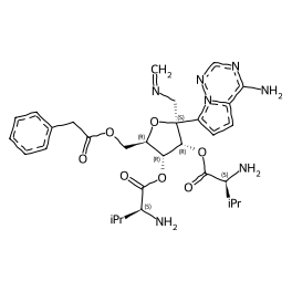 C=NC[C@@]1(c2ccc3c(N)ncnn23)O[C@H](COC(=O)Cc2ccccc2)[C@@H](OC(=O)[C@@H](N)C(C)C)[C@H]1OC(=O)[C@@H](N)C(C)C